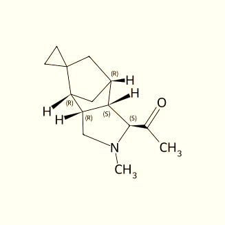 CC(=O)[C@@H]1[C@H]2[C@@H]3C[C@H]([C@H]2CN1C)C1(CC1)C3